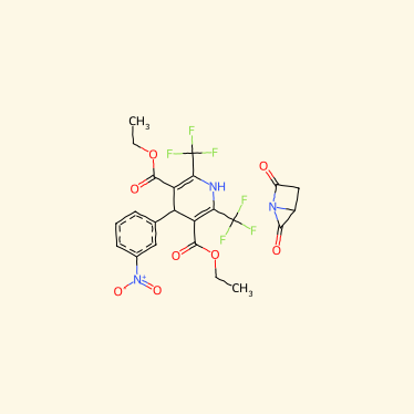 CCOC(=O)C1=C(C(F)(F)F)NC(C(F)(F)F)=C(C(=O)OCC)C1c1cccc([N+](=O)[O-])c1.O=C1CC2C(=O)N12